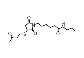 CCCNC(=O)CCCCCN1C(=O)CC(SCCC(C)=O)C1=O